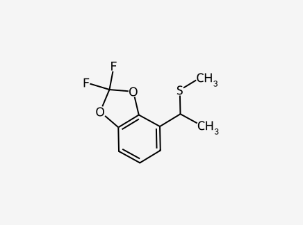 CSC(C)c1cccc2c1OC(F)(F)O2